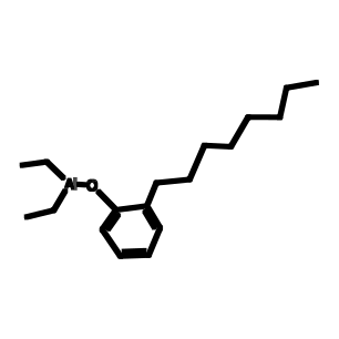 CCCCCCCCc1ccccc1[O][Al]([CH2]C)[CH2]C